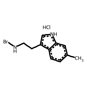 Cc1ccc2c(CCNBr)c[nH]c2c1.Cl